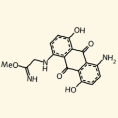 COC(=N)CNc1ccc(O)c2c1C(=O)c1c(O)ccc(N)c1C2=O